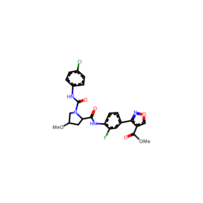 COC(=O)c1conc1-c1ccc(NC(=O)C2CC(OC)CN2C(=O)Nc2ccc(Cl)cc2)c(F)c1